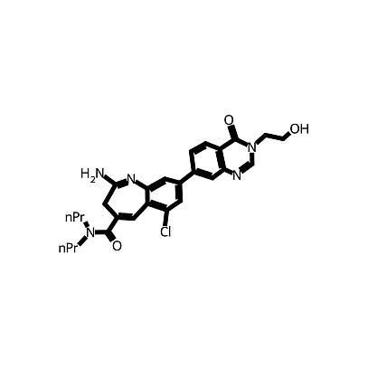 CCCN(CCC)C(=O)C1=Cc2c(Cl)cc(-c3ccc4c(=O)n(CCO)cnc4c3)cc2N=C(N)C1